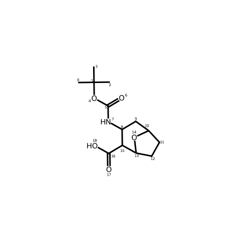 CC(C)(C)OC(=O)NC1CC2CCC(O2)C1C(=O)O